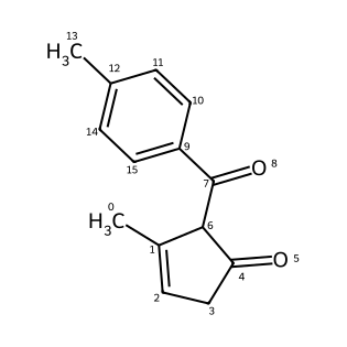 CC1=CCC(=O)C1C(=O)c1ccc(C)cc1